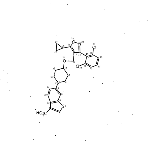 O=C(O)c1csc2cc(N3CCC(OCc4c(-c5c(Cl)cccc5Cl)noc4C4CC4)CC3)ccc12